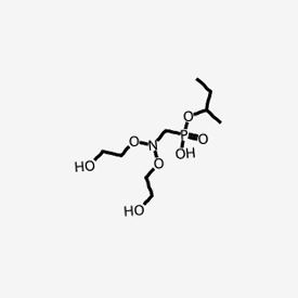 CCC(C)OP(=O)(O)CN(OCCO)OCCO